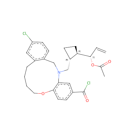 C=C[C@H](OC(C)=O)[C@@H]1CC[C@H]1CN1Cc2ccc(Cl)cc2CCCCOc2ccc(C(=O)Cl)cc21